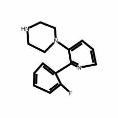 Fc1ccccc1-c1ncccc1N1CCNCC1